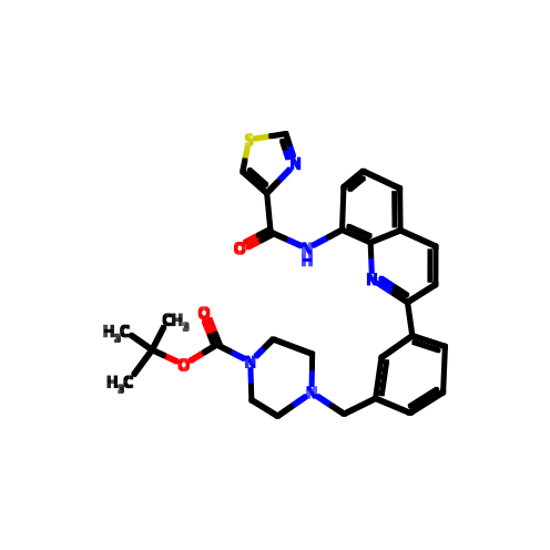 CC(C)(C)OC(=O)N1CCN(Cc2cccc(-c3ccc4cccc(NC(=O)c5cscn5)c4n3)c2)CC1